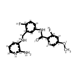 COc1cnc(C(=O)Nc2ccc(F)c(CNc3cccnc3N)c2)c(F)c1